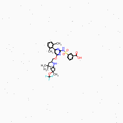 Cc1cccc(C)c1-c1cc(OCC(CC(C)(C)C)NC2CC(C)(OC(F)(F)F)C2)nc(NS(=O)(=O)c2cccc(C(=O)O)c2)n1